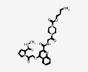 CCCCOC(=O)N1CCN(C(=O)CNC(=O)c2cc(OCC(=O)N3CCCC3C(=O)NC)c3ccccc3n2)CC1